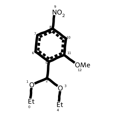 CCOC(OCC)c1ccc([N+](=O)[O-])cc1OC